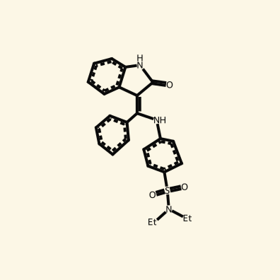 CCN(CC)S(=O)(=O)c1ccc(N/C(=C2\C(=O)Nc3ccccc32)c2ccccc2)cc1